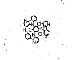 Cc1c(-n2c3ccccc3c3ncccc32)c(C)c(-n2c3ccccc3c3ncccc32)c(C)c1-n1c2ccccc2c2ncccc21